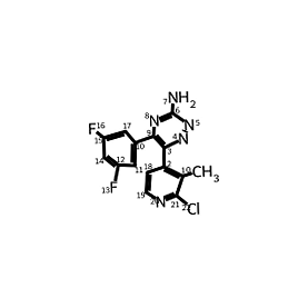 Cc1c(-c2nnc(N)nc2-c2cc(F)cc(F)c2)ccnc1Cl